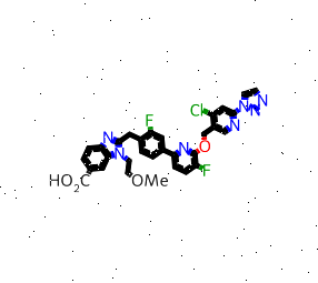 COCCn1c(Cc2ccc(-c3ccc(F)c(OCc4cnc(-n5ccnn5)cc4Cl)n3)cc2F)nc2ccc(C(=O)O)cc21